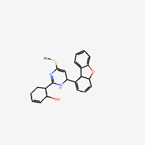 CC(C)SC1=CC(C2=CC=CC3Oc4ccccc4C23)NC(C2CCC=CC2O)=N1